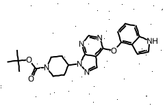 CC(C)(C)OC(=O)N1CCC(n2ncc3c(Oc4cccc5[nH]ccc45)ncnc32)CC1